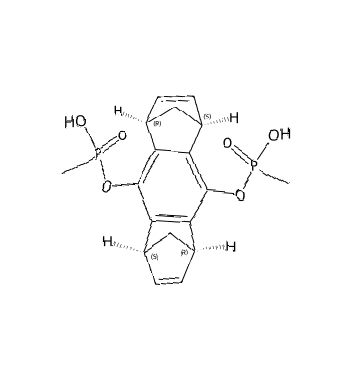 CP(=O)(O)Oc1c2c(c(OP(C)(=O)O)c3c1[C@H]1C=C[C@@H]3C1)[C@H]1C=C[C@@H]2C1